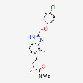 CNC(=O)C(C)CCc1ccc2[nH]c(COc3ccc(Cl)cc3)nc2c1C